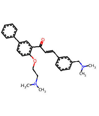 CN(C)CCOc1ccc(-c2ccccc2)cc1C(=O)C=Cc1cccc(CN(C)C)c1